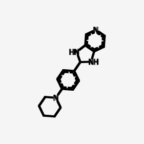 c1cc2c(cn1)NC(c1ccc(N3CCCCC3)cc1)N2